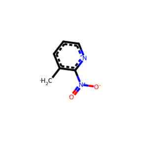 [CH2]c1cccnc1[N+](=O)[O-]